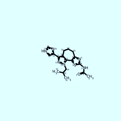 CC(=O)Nc1nc2c(s1)-c1c(c(-c3c[nH]cn3)nn1CC(C)C)CCC2